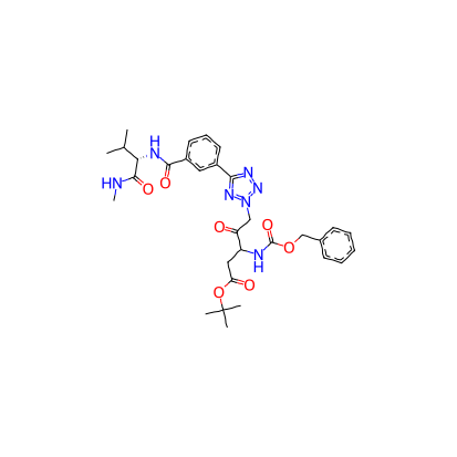 CNC(=O)[C@@H](NC(=O)c1cccc(-c2nnn(CC(=O)C(CC(=O)OC(C)(C)C)NC(=O)OCc3ccccc3)n2)c1)C(C)C